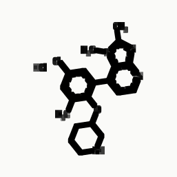 Cc1cc(Cl)cc(-c2ccnc3nc(C)n(C)c23)c1OC1CCCNC1.Cl